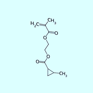 C=C(C)C(=O)OCCOC(=O)C1CC1C